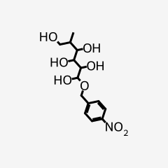 CC(CO)C(O)C(O)C(O)C(O)OCc1ccc([N+](=O)[O-])cc1